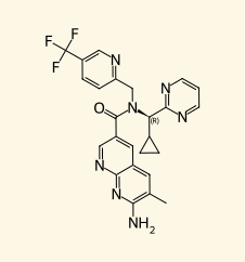 Cc1cc2cc(C(=O)N(Cc3ccc(C(F)(F)F)cn3)[C@@H](c3ncccn3)C3CC3)cnc2nc1N